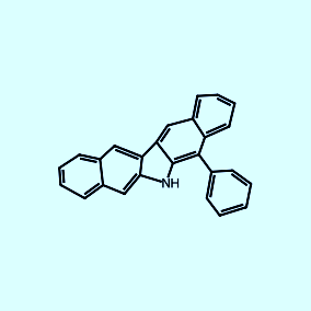 c1ccc(-c2c3ccccc3cc3c2[nH]c2cc4ccccc4cc23)cc1